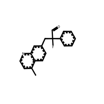 Cc1ccnc2cc(CC(F)(C=O)c3ccccc3)ccc12